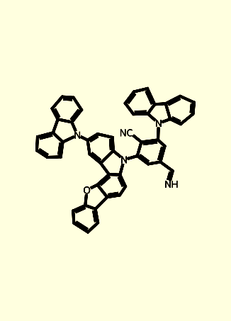 N#Cc1c(-n2c3ccccc3c3ccccc32)cc(C=N)cc1-n1c2ccc(-n3c4ccccc4c4ccccc43)cc2c2c3oc4ccccc4c3ccc21